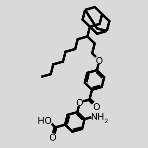 CCCCCCCC(CCOc1ccc(C(=O)Oc2cc(C(=O)O)ccc2N)cc1)C12CC3CC(CC(C3)C1)C2